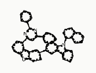 c1ccc(-c2cc(-c3cccc4oc5ccc(-c6ccc7c(c6)c6ccccc6n7-c6cccc7ccccc67)cc5c34)nc(-c3ccccc3)n2)cc1